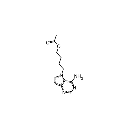 CC(=O)OCCCCn1cpc2ncnc(N)c21